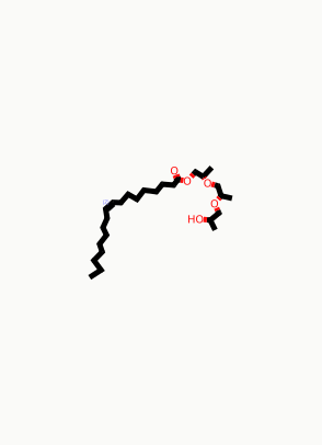 CCCCCCCC/C=C\CCCCCCCC(=O)OCC(C)OCC(C)OCC(C)O